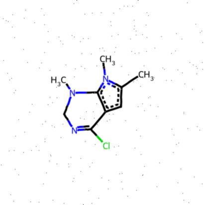 Cc1cc2c(n1C)N(C)CN=C2Cl